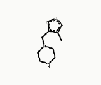 Cc1nonc1CN1CCNCC1